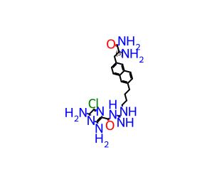 N=C(NCCCCc1ccc2cc(C[C@H](N)C(N)=O)ccc2c1)NC(=O)c1nc(Cl)c(N)nc1N